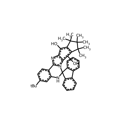 CC(C)(C)c1ccc2c(c1)NC1(c3ccccc3-c3ccccc31)n1c-2nc2c(O)c3c(c(O)c21)C(C)(C)C(C)(C)C3(C)C